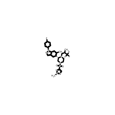 Cc1cc2c(cnn2-c2ccc(F)cc2)cc1[C@H]1CN(S(=O)(=O)c2cnn(C)n2)CCN1CC(C)C(F)(F)F